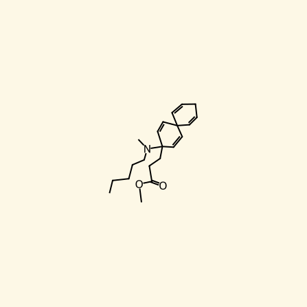 CCCCCN(C)C1(CCC(=O)OC)C=CC2(C=CCC=C2)C=C1